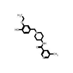 CCOc1cc(CN2CCC(NC(=O)c3cncc(C)c3)CC2)ccc1O